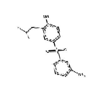 Nc1cc[c]c(S(=O)(=O)c2ccc(O)c(CC(F)F)c2)c1